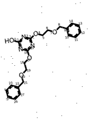 Oc1nc(OCCOCc2ccccc2)nc(OCCOCc2ccccc2)n1